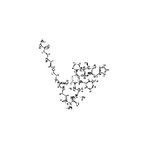 CC[C@H](C)C([C@@H](CC(=O)N1CCC[C@H]1[C@H](OC)[C@@H](C)C(=O)N[C@@H](Cc1ccccc1)c1nccs1)OC)N(C)C(=O)[C@@H](NC(=O)[C@H](C(C)C)N(C)CCOCCOCCOCCOCCC(=O)OC(C)(C)C)C(C)C